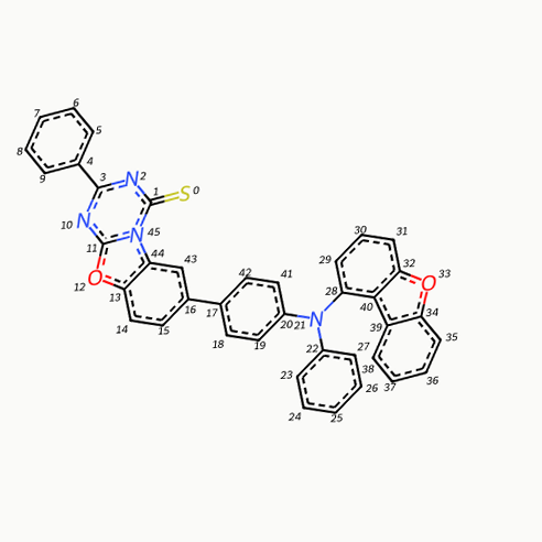 S=c1nc(-c2ccccc2)nc2oc3ccc(-c4ccc(N(c5ccccc5)c5cccc6oc7ccccc7c56)cc4)cc3n12